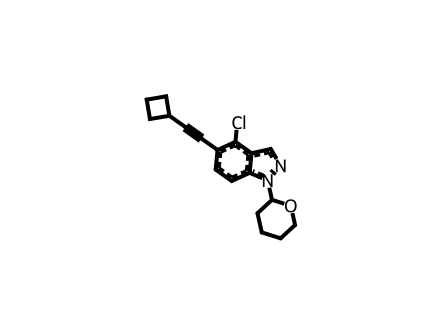 Clc1c(C#CC2CCC2)ccc2c1cnn2C1CCCCO1